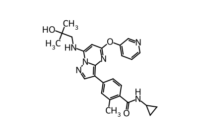 Cc1cc(-c2cnn3c(NCC(C)(C)O)cc(Oc4cccnc4)nc23)ccc1C(=O)NC1CC1